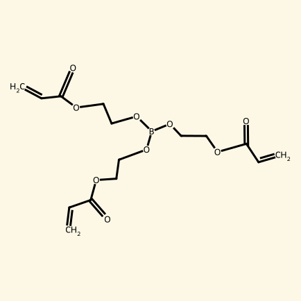 C=CC(=O)OCCOB(OCCOC(=O)C=C)OCCOC(=O)C=C